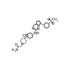 CS(=O)(=O)c1cccc(-c2ccc3cnc(Nc4ccc(C5(C#N)CCN(CC(N)=O)CC5)cc4)nn23)c1